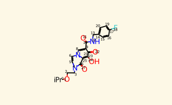 CC(C)OCCn1ccn2cc(C(=O)NCc3ccc(F)cc3)c(=O)c(O)c2c1=O